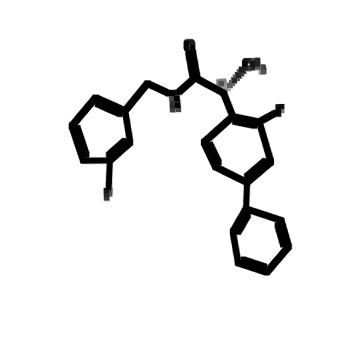 C[C@@H](C(=O)NCc1cccc(F)c1)c1ccc(-c2ccccc2)cc1F